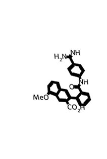 COc1cccc2cc(-c3ccccc3C(=O)Nc3ccc(C(=N)N)cc3)c(C(=O)O)cc12